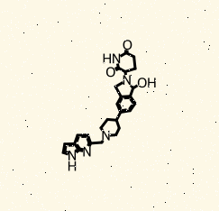 O=C1CCC(N2Cc3cc(C4CCN(Cc5ccc6cc[nH]c6n5)CC4)ccc3C2O)C(=O)N1